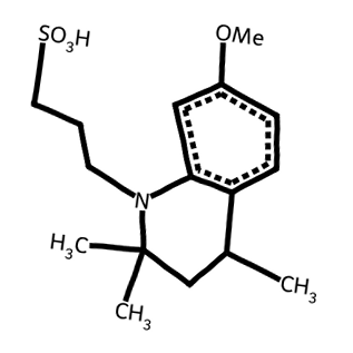 COc1ccc2c(c1)N(CCCS(=O)(=O)O)C(C)(C)CC2C